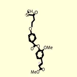 COC(=O)/C=C/c1ccc(OC(=O)c2ccc(OCCCC(=O)[Si]C)cc2)c(OC)c1